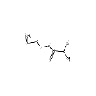 C=CCSOC(=O)C(O)CC